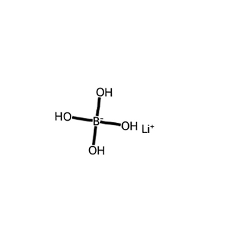 O[B-](O)(O)O.[Li+]